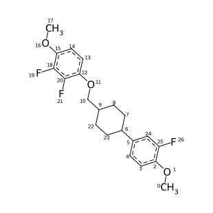 COc1ccc(C2CCC(COc3ccc(OC)c(F)c3F)CC2)cc1F